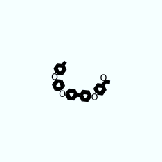 CC(=O)c1ccc(Oc2ccc(-c3ccc(Oc4ccc(Oc5ccc(C)cc5)cc4)cc3)cc2)cc1